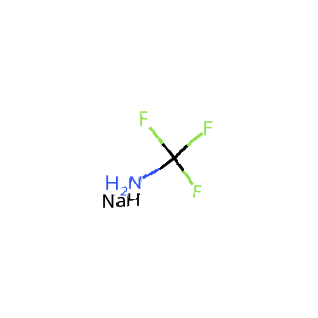 NC(F)(F)F.[NaH]